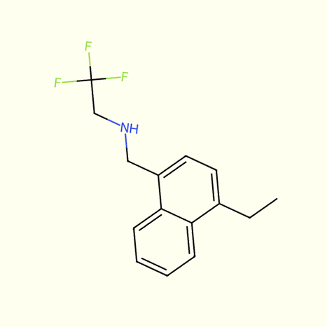 CCc1ccc(CNCC(F)(F)F)c2ccccc12